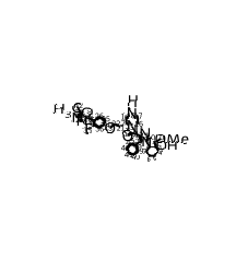 COC[C@]1(O)CCCC[C@H]1n1cnc(C(=O)N2CCNC[C@H]2CCOc2ccc(-c3nnc(C)o3)c(F)c2)c1-c1ccccc1